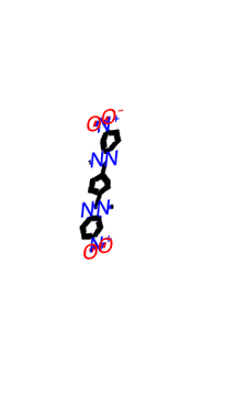 Cn1c(-c2ccc(-c3nc4ccc([N+](=O)[O-])cc4n3C)cc2)nc2ccc([N+](=O)[O-])cc21